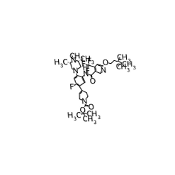 C[C@@H]1CN(c2cc(F)c(C3=CCN(C(=O)OC(C)(C)C)CC3)cc2NC(=O)c2cnc(OCCS(C)(C)C)cc2C(F)(F)F)C[C@H](C)N1C